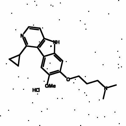 COc1cc2c(cc1OCCCN(C)C)[nH]c1ccnc(C3CC3)c12.Cl